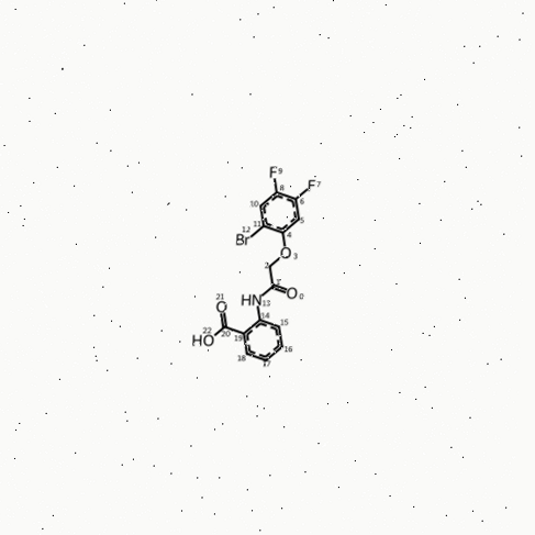 O=C(COc1cc(F)c(F)cc1Br)Nc1ccccc1C(=O)O